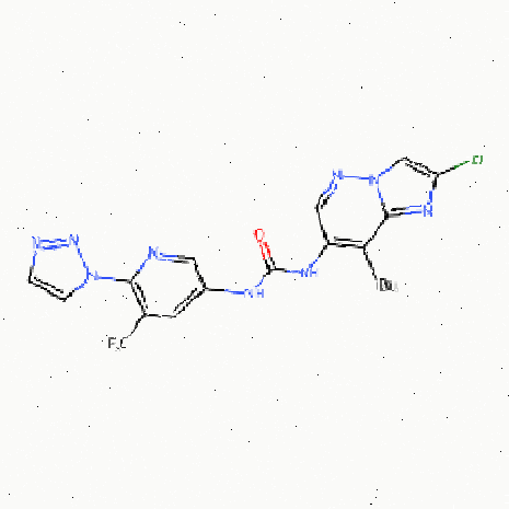 CCC(C)c1c(NC(=O)Nc2cnc(-n3ccnn3)c(C(F)(F)F)c2)cnn2cc(Cl)nc12